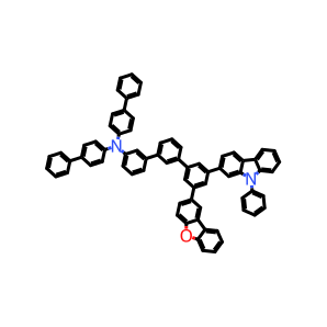 c1ccc(-c2ccc(N(c3ccc(-c4ccccc4)cc3)c3cccc(-c4cccc(-c5cc(-c6ccc7oc8ccccc8c7c6)cc(-c6ccc7c8ccccc8n(-c8ccccc8)c7c6)c5)c4)c3)cc2)cc1